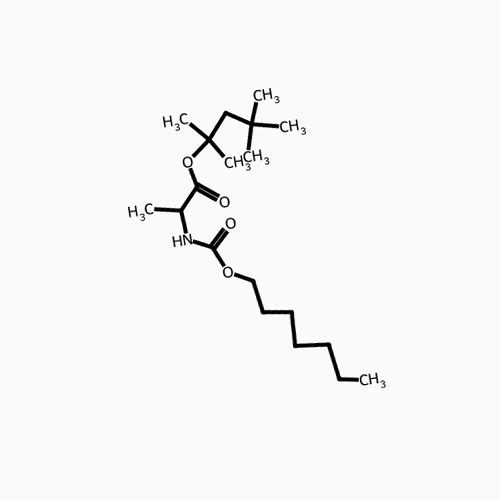 CCCCCCCOC(=O)NC(C)C(=O)OC(C)(C)CC(C)(C)C